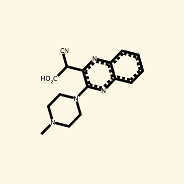 CN1CCN(c2nc3ccccc3nc2C(C#N)C(=O)O)CC1